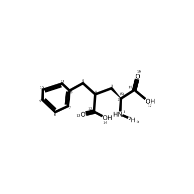 [2H]N[C@@H](CC(Cc1ccccc1)C(=O)O)C(=O)O